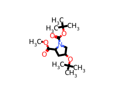 COC(=O)C1CC(OC(C)(C)C)CN1C(=O)OC(C)(C)C